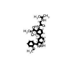 COc1ccccc1-c1n[nH]c2ncc(-c3ccc(NC(=O)CNC(C)C)c(C(=O)N(C)C)c3)cc12